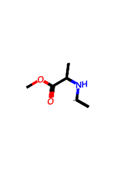 C[CH]NC(C)C(=O)OC